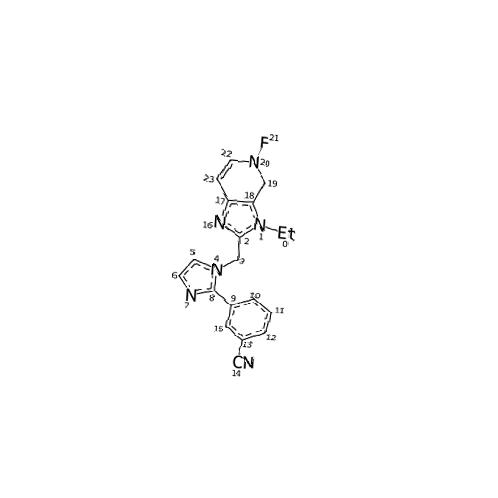 CCn1c(Cn2ccnc2-c2cccc(C#N)c2)nc2c1CN(F)C=C2